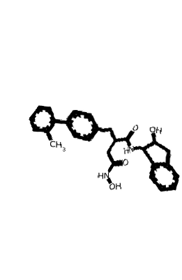 Cc1ccccc1-c1ccc(CC(CC(=O)NO)C(=O)NC2c3ccccc3CC2O)cc1